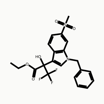 CCOC(=O)C(O)(c1cn(Cc2ccccc2)c2cc(S(C)(=O)=O)ccc12)C(F)(F)F